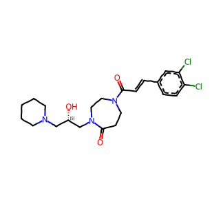 O=C(C=Cc1ccc(Cl)c(Cl)c1)N1CCC(=O)N(C[C@@H](O)CN2CCCCC2)CC1